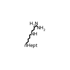 CCCCCCCCCCCCNCCCC(N)N